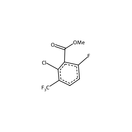 COC(=O)c1c(F)ccc(C(F)(F)F)c1Cl